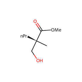 CCC[C@@](C)(CO)C(=O)OC